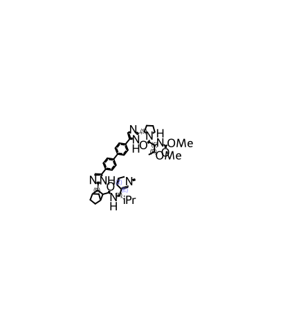 C=N/C=C(\C=C/C)[C@@H](NC(=O)C1C2CCC(C2)[C@H]1c1ncc(-c2ccc(-c3ccc(-c4cnc([C@@H]5CCCN5C(=O)[C@@H](NC(=O)OC)[C@@H](C)OC)[nH]4)cc3)cc2)[nH]1)C(C)C